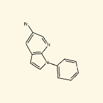 Brc1cnc2c(ccn2-c2ccccc2)c1